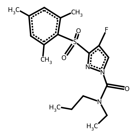 CCCN(CC)C(=O)n1cc(F)c(S(=O)(=O)c2c(C)cc(C)cc2C)n1